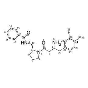 N[C@@H](CC(=O)N1CCC[C@H]1CNC(=O)c1ccccc1)Cc1ccc(F)c(F)c1